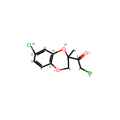 CC1(C(=O)CBr)COc2ccc(Cl)cc2O1